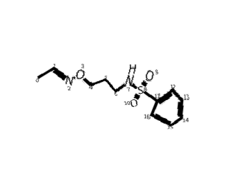 C/C=N/OCCCNS(=O)(=O)c1ccccc1